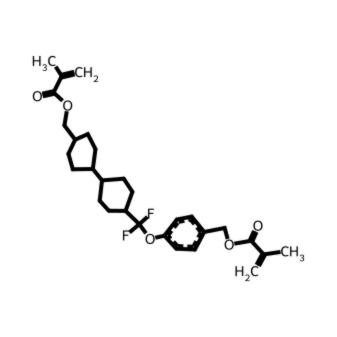 C=C(C)C(=O)OCc1ccc(OC(F)(F)C2CCC(C3CCC(COC(=O)C(=C)C)CC3)CC2)cc1